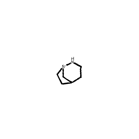 C1CC2CC[N+](C2)N1